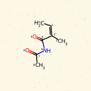 CC=C(C)C(=O)NC(C)=O